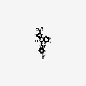 COC(=O)c1ccc(NC(c2nc3ccc(OC)cc3n2C)C2CCCCC2)cc1